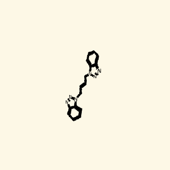 C(=C\Cn1nnc2ccccc21)/Cn1nnc2ccccc21